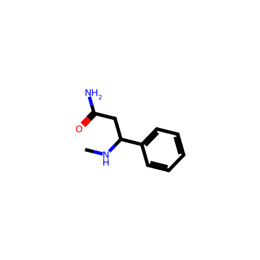 CNC(CC(N)=O)c1ccccc1